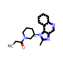 Cc1nc2cnc3ccccc3c2n1[C@@H]1CCCN(C(=O)CC#N)C1